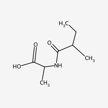 CCC(C)C(=O)NC(C)C(=O)O